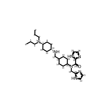 CCCN(CCC)[C@H]1CC[C@H](NCC2CCC(N(Cc3ncc[nH]3)C(=O)c3ncc[nH]3)CC2)CC1